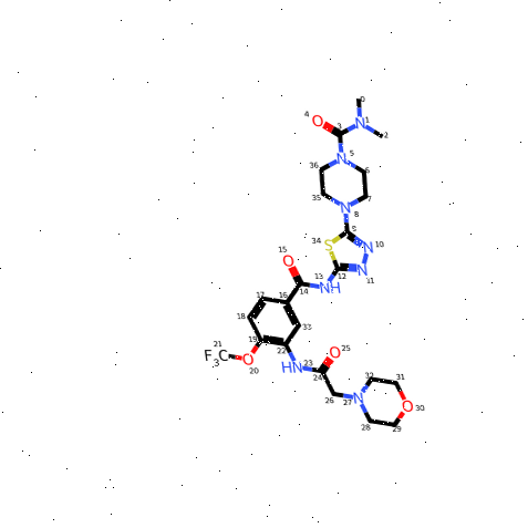 CN(C)C(=O)N1CCN(c2nnc(NC(=O)c3ccc(OC(F)(F)F)c(NC(=O)CN4CCOCC4)c3)s2)CC1